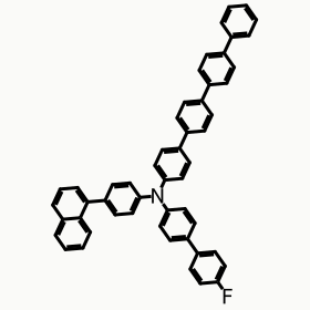 Fc1ccc(-c2ccc(N(c3ccc(-c4ccc(-c5ccc(-c6ccccc6)cc5)cc4)cc3)c3ccc(-c4cccc5ccccc45)cc3)cc2)cc1